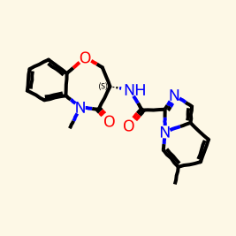 Cc1ccc2cnc(C(=O)N[C@H]3COc4ccccc4N(C)C3=O)n2c1